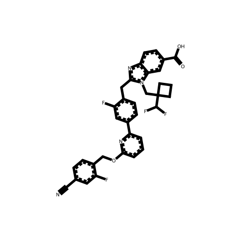 N#Cc1ccc(COc2cccc(-c3ccc(Cc4nc5ccc(C(=O)O)cc5n4CC4(C(F)F)CCC4)c(F)c3)n2)c(F)c1